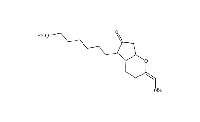 CCCCC=C1CCC2C(CC(=O)C2CCCCCCC(=O)OCC)O1